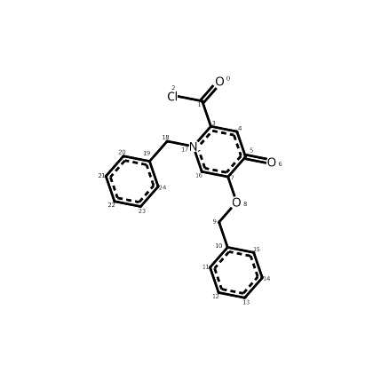 O=C(Cl)c1cc(=O)c(OCc2ccccc2)cn1Cc1ccccc1